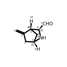 C=C1C[C@@H]2C[C@H]1[C@@H](C=O)N2